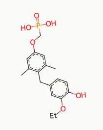 CCOc1cc(Cc2c(C)cc(OCP(=O)(O)O)cc2C)ccc1O